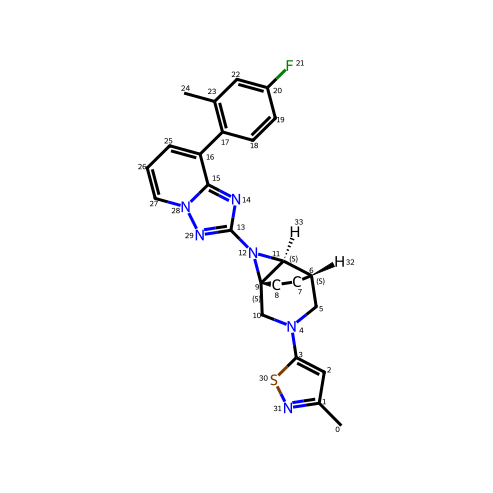 Cc1cc(N2C[C@@H]3CC[C@]4(C2)[C@H]3N4c2nc3c(-c4ccc(F)cc4C)cccn3n2)sn1